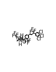 C=C(NCC(F)(F)F)NNC(=O)c1ccc(/C=C/C(c2cc(Cl)c(Cl)c(Cl)c2)C(F)(F)F)cc1C(F)(F)F